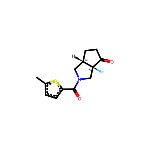 Cc1ccc(C(=O)N2C[C@@H]3CCC(=O)[C@]3(F)C2)s1